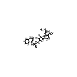 COc1nc(N)nc2c1ncn2C1OC(CO[PH](=O)Oc2cccc3ccccc23)C(O)C1(C)O